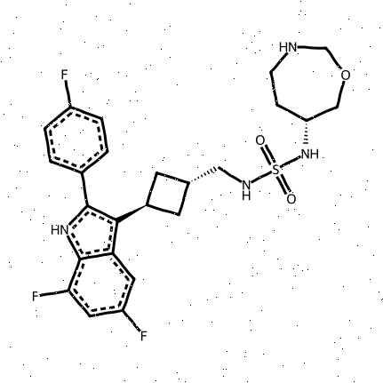 O=S(=O)(NC[C@H]1C[C@H](c2c(-c3ccc(F)cc3)[nH]c3c(F)cc(F)cc32)C1)N[C@@H]1CCNCOC1